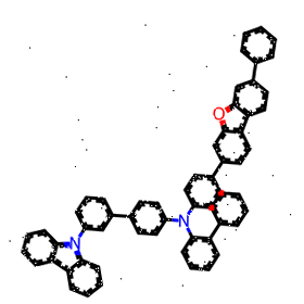 c1ccc(-c2ccc3c(c2)oc2cc(-c4ccc(N(c5ccc(-c6cccc(-n7c8ccccc8c8ccccc87)c6)cc5)c5ccccc5-c5ccccc5)cc4)ccc23)cc1